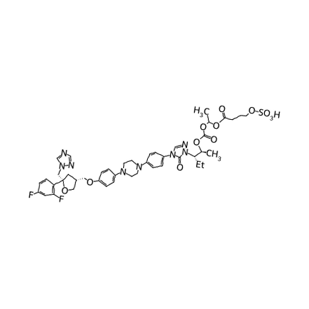 CC[C@@H]([C@H](C)OC(=O)OC(C)OC(=O)CCCOS(=O)(=O)O)n1ncn(-c2ccc(N3CCN(c4ccc(OC[C@@H]5CO[C@@](Cn6cncn6)(c6ccc(F)cc6F)C5)cc4)CC3)cc2)c1=O